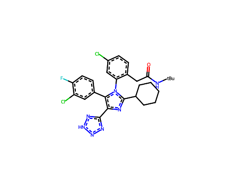 CC(C)(C)NC(=O)Cc1ccc(Cl)cc1-n1c(C2CCCCC2)nc(-c2nn[nH]n2)c1-c1ccc(F)c(Cl)c1